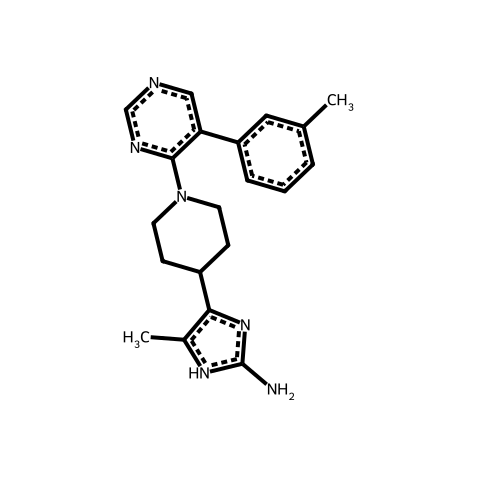 Cc1cccc(-c2cncnc2N2CCC(c3nc(N)[nH]c3C)CC2)c1